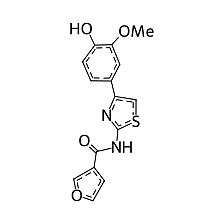 COc1cc(-c2csc(NC(=O)c3ccoc3)n2)ccc1O